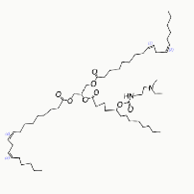 CCCCC/C=C\C/C=C\CCCCCCCC(=O)OCC(COC(=O)CCCCCCC/C=C\C/C=C\CCCCC)OC(=O)CCCC(CCCCCCCC)OC(=O)NCCN(C)CC